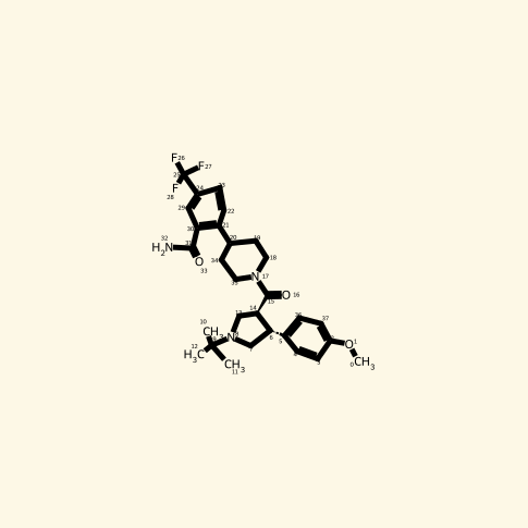 COc1ccc([C@@H]2CN(C(C)(C)C)C[C@H]2C(=O)N2CCC(c3ccc(C(F)(F)F)cc3C(N)=O)CC2)cc1